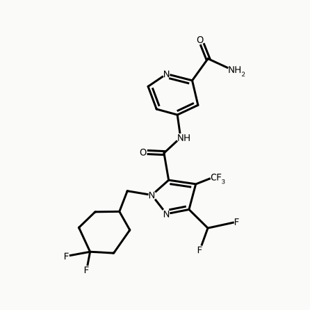 NC(=O)c1cc(NC(=O)c2c(C(F)(F)F)c(C(F)F)nn2CC2CCC(F)(F)CC2)ccn1